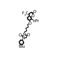 CCCc1c(OCCCCCN2C(=O)CN(c3ccc(C(C)(C)C)cc3)C2=O)ccc2c(C(F)(F)F)cc(=O)oc12